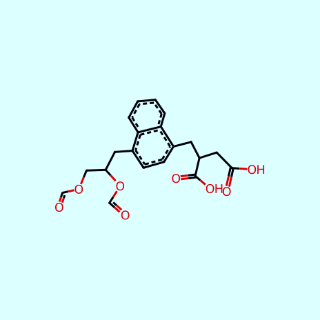 O=COCC(Cc1ccc(CC(CC(=O)O)C(=O)O)c2ccccc12)OC=O